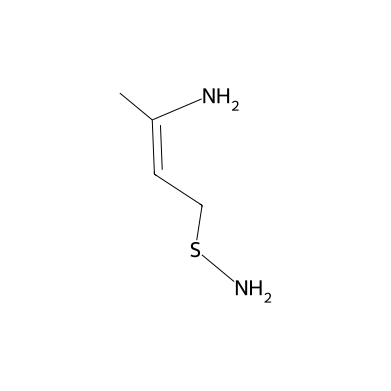 CC(N)=CCSN